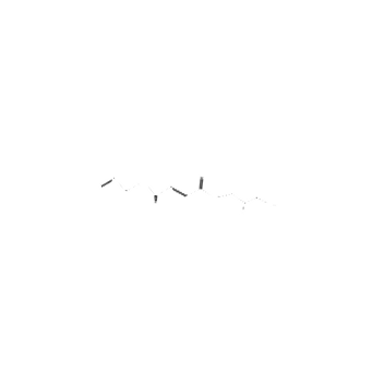 C=CCOC(=O)/C=C/C(=O)OCC(O)CO